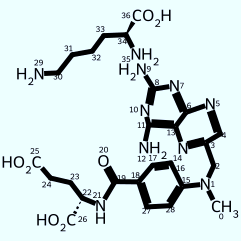 CN(Cc1cnc2nc(N)nc(N)c2n1)c1ccc(C(=O)N[C@@H](CCC(=O)O)C(=O)O)cc1.NCCCC[C@H](N)C(=O)O